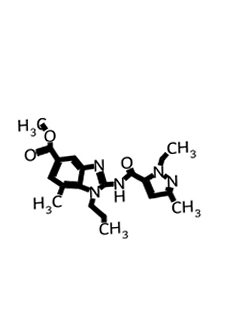 CCCn1c(NC(=O)c2cc(C)nn2CC)nc2cc(C(=O)OC)cc(C)c21